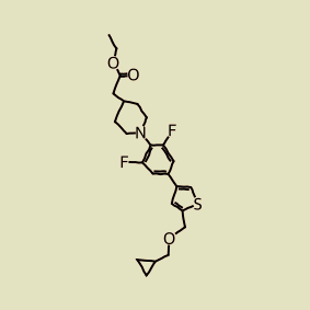 CCOC(=O)CC1CCN(c2c(F)cc(-c3csc(COCC4CC4)c3)cc2F)CC1